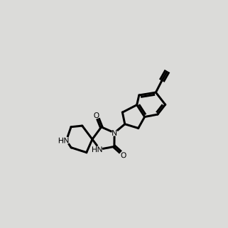 C#Cc1ccc2c(c1)CC(N1C(=O)NC3(CCNCC3)C1=O)C2